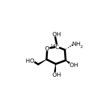 N[C@@H]1[C@@H](O)[C@@H](O)[C@@H](CO)O[14CH]1O